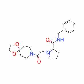 O=C(NCc1ccccc1)[C@@H]1CCCN1CC(=O)N1CCC2(CC1)OCCO2